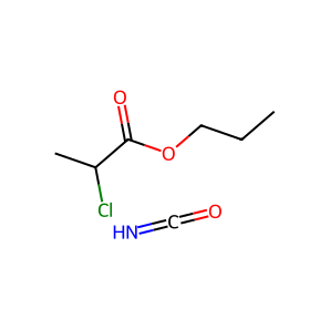 CCCOC(=O)C(C)Cl.N=C=O